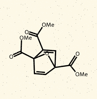 COC(=O)C1=CC2(C(=O)OC)C=CC1(C(=O)OC)O2